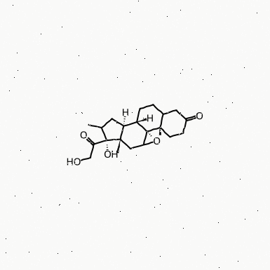 CC1C[C@H]2[C@@H]3CCC4CC(=O)CC[C@]4(C)[C@]34OC4C[C@]2(C)[C@@]1(O)C(=O)CO